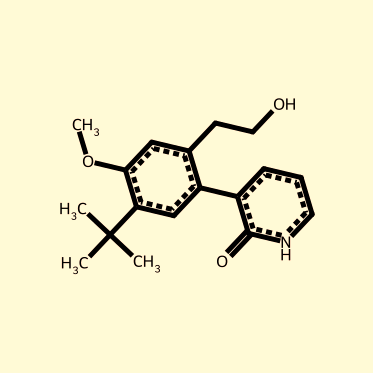 COc1cc(CCO)c(-c2ccc[nH]c2=O)cc1C(C)(C)C